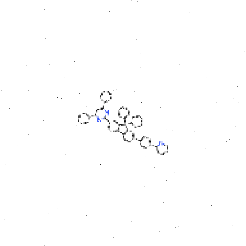 c1ccc(-c2cc(-c3ccccc3)nc(-c3ccc4c(c3)C(c3ccccc3)(c3ccccc3)c3cc(-c5ccc(-c6ccccn6)cc5)ccc3-4)n2)cc1